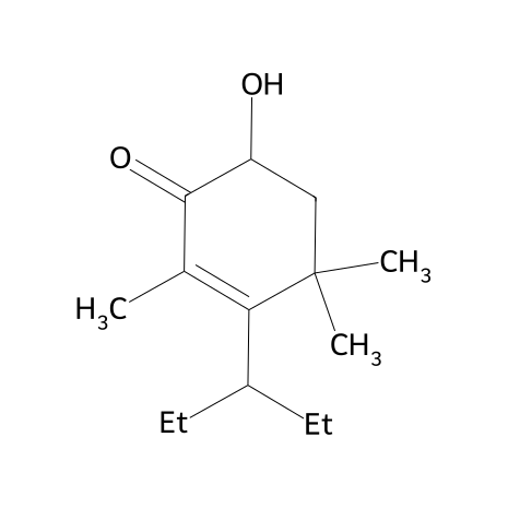 CCC(CC)C1=C(C)C(=O)C(O)CC1(C)C